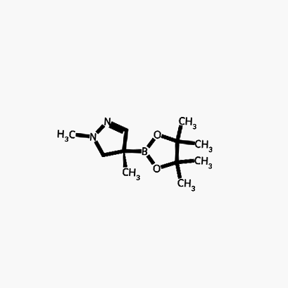 CN1C[C@@](C)(B2OC(C)(C)C(C)(C)O2)C=N1